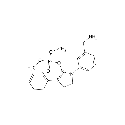 COP(=O)(OC)OS1=S(c2ccccc2)CCN1c1cccc(CN)c1